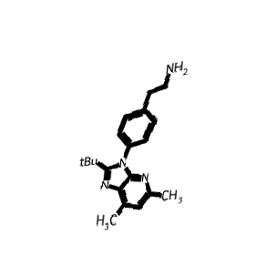 Cc1cc(C)c2nc(C(C)(C)C)n(-c3ccc(CCN)cc3)c2n1